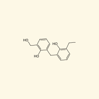 CCc1cccc(Cc2cccc(CO)c2O)c1O